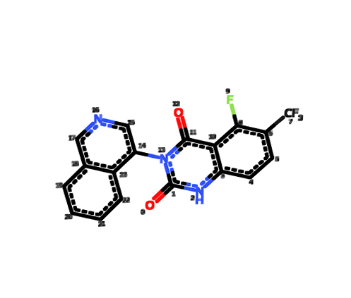 O=c1[nH]c2ccc(C(F)(F)F)c(F)c2c(=O)n1-c1cncc2ccccc12